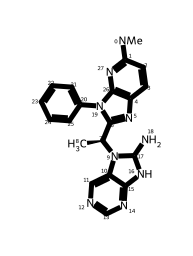 CNc1ccc2nc([C@H](C)N3c4cncnc4NC3N)n(-c3ccccc3)c2n1